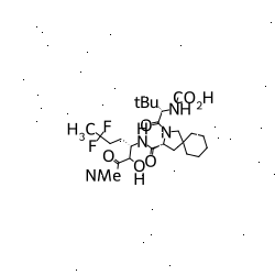 CNC(=O)C(O)[C@H](CCC(C)(F)F)NC(=O)[C@@H]1CC2(CCCCC2)CN1C(=O)[C@@H](NC(=O)O)C(C)(C)C